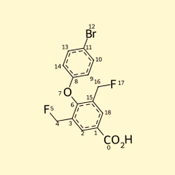 O=C(O)c1cc(CF)c(Oc2ccc(Br)cc2)c(CF)c1